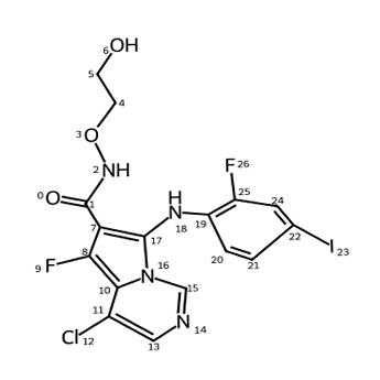 O=C(NOCCO)c1c(F)c2c(Cl)cncn2c1Nc1ccc(I)cc1F